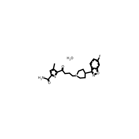 Cc1cc(C(N)=O)sc1C(=O)CCCN1CCC(c2noc3cc(F)ccc23)CC1.O